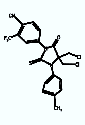 [C-]#[N+]c1ccc(N2C(=O)C(CCl)(CCl)N(c3ccc(C)cc3)C2=S)cc1C(F)(F)F